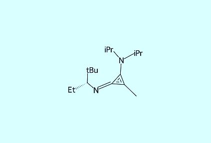 CC[C@@H](/N=c1/c(C)c1N(C(C)C)C(C)C)C(C)(C)C